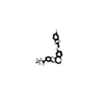 CS(=O)(=O)NC(=O)c1cccc(C[C@@H]2CCOc3ccc(OCc4nc5cc(F)ccc5s4)cc3[C@@H]2O)c1